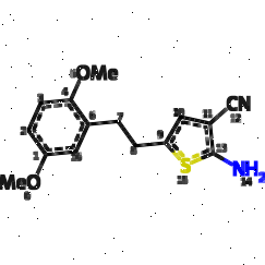 COc1ccc(OC)c(CCc2cc(C#N)c(N)s2)c1